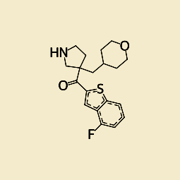 O=C(c1cc2c(F)cccc2s1)C1(CC2CCOCC2)CCNC1